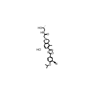 Cc1c(-c2noc(-c3ccc(OC(C)C)c(C#N)c3)n2)ccc2c1CCN(CC(=O)NC[C@@H](C)O)C2.Cl